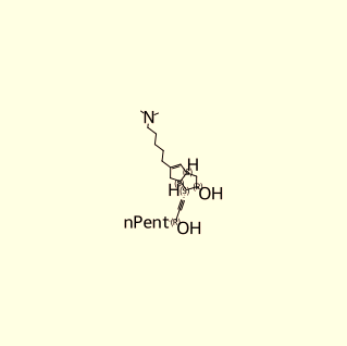 CCCCC[C@@H](O)C#C[C@@H]1[C@H]2CC(CCCCCN(C)C)=C[C@H]2C[C@H]1O